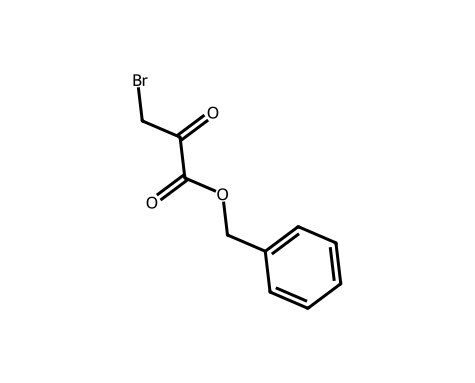 O=C(CBr)C(=O)OCc1ccccc1